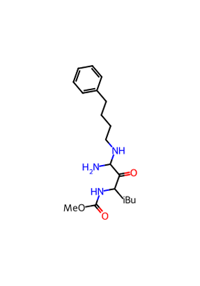 CCC(C)C(NC(=O)OC)C(=O)C(N)NCCCCc1ccccc1